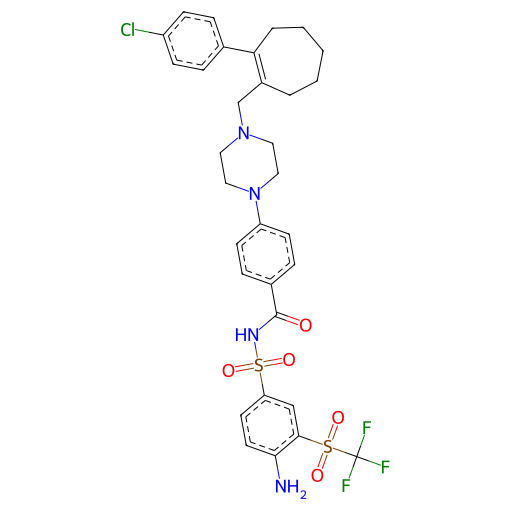 Nc1ccc(S(=O)(=O)NC(=O)c2ccc(N3CCN(CC4=C(c5ccc(Cl)cc5)CCCCC4)CC3)cc2)cc1S(=O)(=O)C(F)(F)F